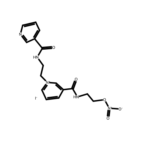 O=C(NCCO[N+](=O)[O-])c1ccc[n+](CCNC(=O)c2cccnc2)c1.[I-]